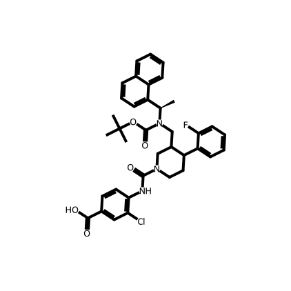 C[C@H](c1cccc2ccccc12)N(CC1CN(C(=O)Nc2ccc(C(=O)O)cc2Cl)CCC1c1ccccc1F)C(=O)OC(C)(C)C